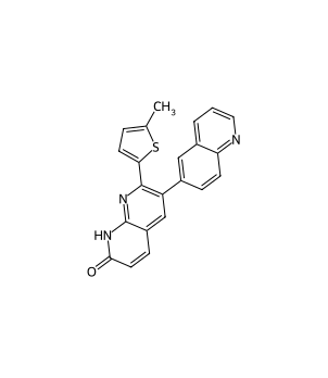 Cc1ccc(-c2nc3[nH]c(=O)ccc3cc2-c2ccc3ncccc3c2)s1